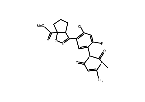 COC(=O)C12CCCC1C(c1cc(-n3c(=O)cc(C(F)(F)F)n(C)c3=O)c(F)cc1Cl)=NO2